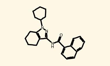 O=C(Nc1nn(C2CCCCC2)c2c1CCCC2)c1cccc2ccccc12